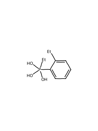 CCc1ccccc1P(O)(O)(O)CC